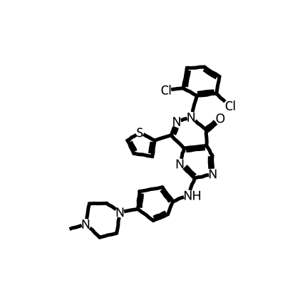 CN1CCN(c2ccc(Nc3ncc4c(=O)n(-c5c(Cl)cccc5Cl)nc(-c5cccs5)c4n3)cc2)CC1